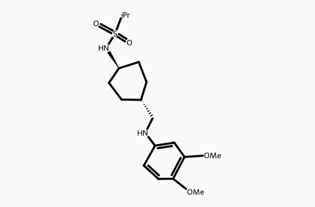 COc1ccc(NC[C@H]2CC[C@H](NS(=O)(=O)C(C)C)CC2)cc1OC